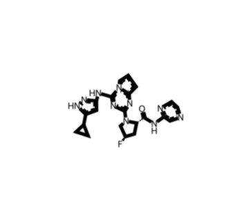 O=C(Nc1cnccn1)[C@@H]1C[C@@H](F)CN1c1nc(Nc2cc(C3CC3)[nH]n2)n2cccc2n1